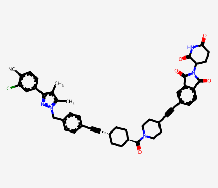 Cc1c(-c2ccc(C#N)c(Cl)c2)nn(Cc2ccc(C#C[C@H]3CC[C@H](C(=O)N4CCC(C#Cc5ccc6c(c5)C(=O)N(C5CCC(=O)NC5=O)C6=O)CC4)CC3)cc2)c1C